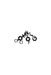 CC(C)(c1ccc(Cl)c(Cl)c1)c1cnc(SCCN2CCCCC2)n1-c1ccc(F)cc1